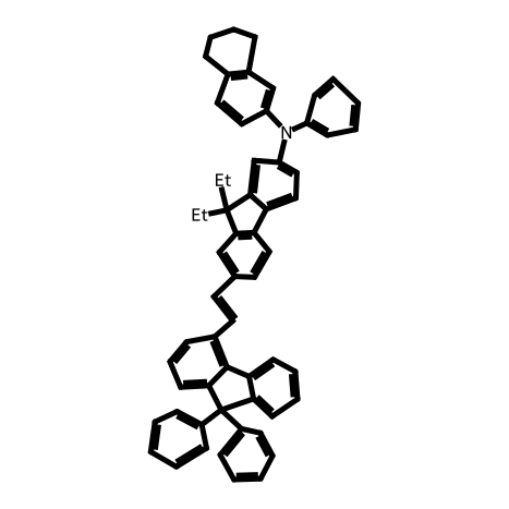 CCC1(CC)c2cc(/C=C/c3cccc4c3-c3ccccc3C4(c3ccccc3)c3ccccc3)ccc2-c2ccc(N(c3ccccc3)c3ccc4c(c3)CCCC4)cc21